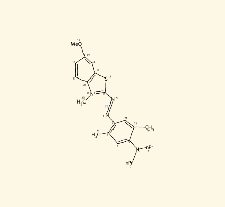 CCCN(CCC)c1cc(C)c(/N=N/c2sc3cc(OC)ccc3[n+]2C)cc1C